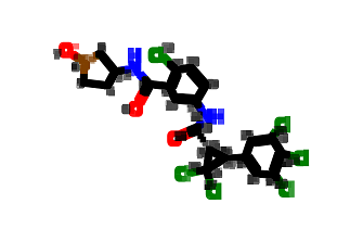 O=C(NC1CC[S+]([O-])C1)c1cc(NC(=O)[C@@H]2[C@@H](c3cc(Cl)c(Cl)c(Cl)c3)C2(Cl)Cl)ccc1Cl